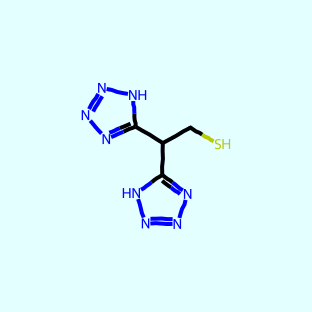 SCC(c1nnn[nH]1)c1nnn[nH]1